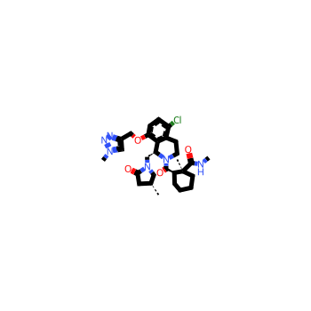 CNC(=O)[C@@]1(C)CCCC[C@H]1C(=O)N1CCc2c(Cl)ccc(OCc3cn(C)nn3)c2[C@H]1CN1C[C@H](C)CC1=O